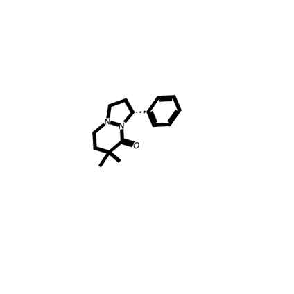 CC1(C)CCN2CC[C@H](c3ccccc3)N2C1=O